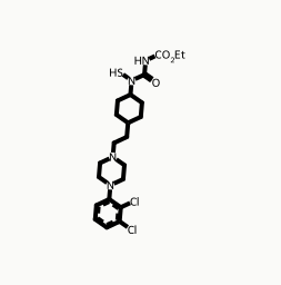 CCOC(=O)NC(=O)N(S)C1CCC(CCN2CCN(c3cccc(Cl)c3Cl)CC2)CC1